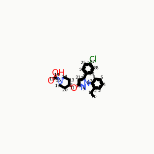 CCc1ccccc1-n1nc(OC2CCN(C(=O)O)CC2)cc1-c1ccc(Cl)cc1